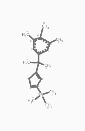 Cc1cc(C(C)(C)C2=CC([Si](C)(C)C)=CC2)cc(C)c1C